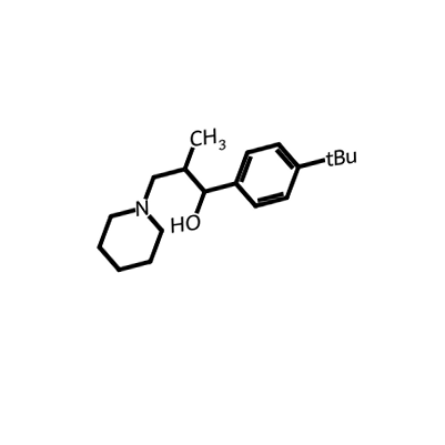 CC(CN1CCCCC1)C(O)c1ccc(C(C)(C)C)cc1